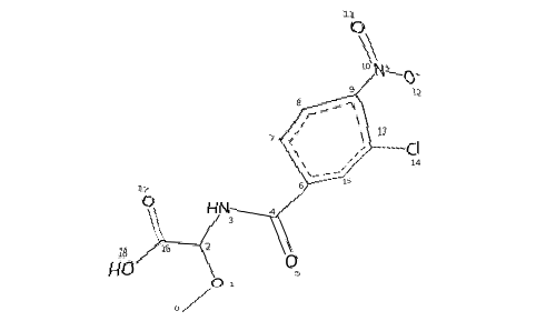 COC(NC(=O)c1ccc([N+](=O)[O-])c(Cl)c1)C(=O)O